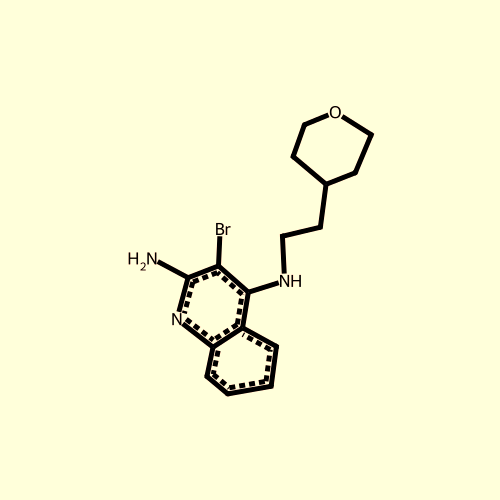 Nc1nc2ccccc2c(NCCC2CCOCC2)c1Br